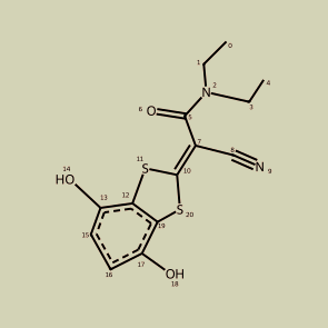 CCN(CC)C(=O)C(C#N)=C1Sc2c(O)ccc(O)c2S1